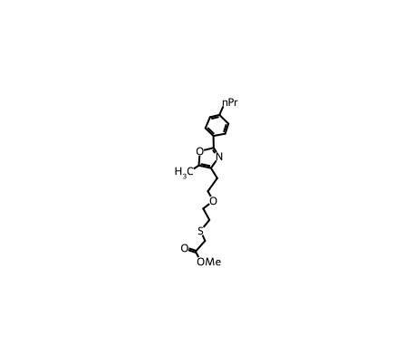 CCCc1ccc(-c2nc(CCOCCSCC(=O)OC)c(C)o2)cc1